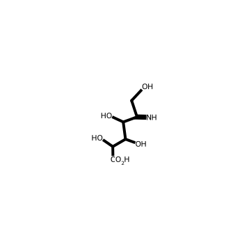 N=C(CO)C(O)C(O)C(O)C(=O)O